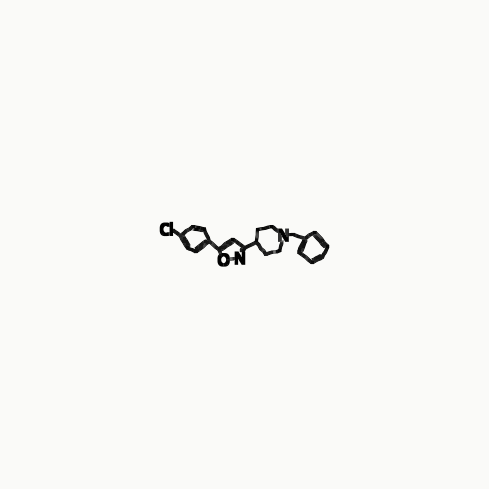 Clc1ccc(-c2cc(C3CCN(Cc4ccccc4)CC3)no2)cc1